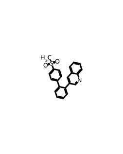 CS(=O)(=O)c1ccc(-c2ccccc2-c2cnc3ccccc3c2)cc1